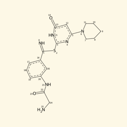 N=C(Sc1nc(N2CCCCC2)cc(=O)[nH]1)c1cccc(NC(=O)CN)c1